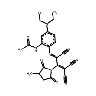 CCN(CC)c1ccc(/N=C(\C#N)C(=C(C#N)C#N)N2C(=O)CC(C)C2=O)c(NC(C)=O)c1